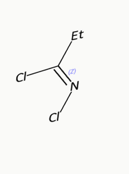 CC/C(Cl)=N/Cl